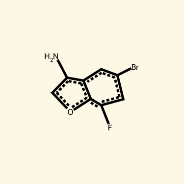 Nc1[c]oc2c(F)cc(Br)cc12